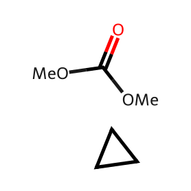 C1CC1.COC(=O)OC